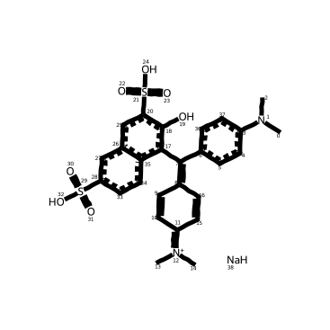 CN(C)c1ccc(C(=C2C=CC(=[N+](C)C)C=C2)c2c(O)c(S(=O)(=O)O)cc3cc(S(=O)(=O)O)ccc23)cc1.[NaH]